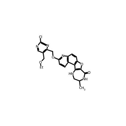 CCOCc1cnc(Cl)nc1COc1ccc2c(ccc3oc4c(c32)NCC(C)NC4=O)n1